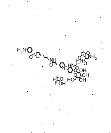 NCC(C(=O)NCCC(=O)Nc1cc(C[n+]2cccc(/C=C/C(=O)NCCCCC3CCN(C(=O)c4cccc(N)c4)CC3)c2)ccc1O[C@H]1O[C@H](CO)[C@@H](O)[C@H](O)[C@@H]1O)N1C(=O)C=CC1=O.O=C(O)C(F)(F)F